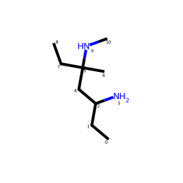 CCC(N)CC(C)(CC)NC